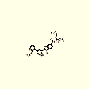 CCCC(C)NC(=O)c1ccc2[nH]c(-c3cc(-c4cccnc4OC)ccc3O)nc2c1